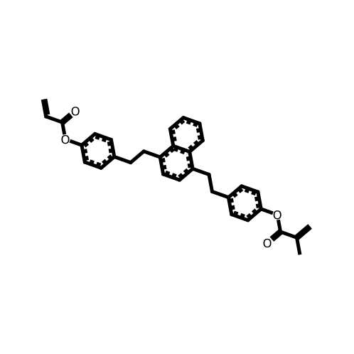 C=CC(=O)Oc1ccc(CCc2ccc(CCc3ccc(OC(=O)C(=C)C)cc3)c3ccccc23)cc1